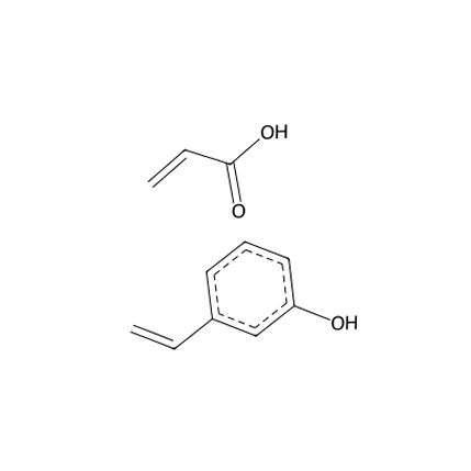 C=CC(=O)O.C=Cc1cccc(O)c1